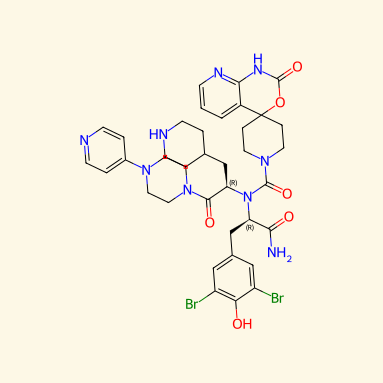 NC(=O)[C@@H](Cc1cc(Br)c(O)c(Br)c1)N(C(=O)N1CCC2(CC1)OC(=O)Nc1ncccc12)[C@H](CC1CCNCC1)C(=O)N1CCN(c2ccncc2)CC1